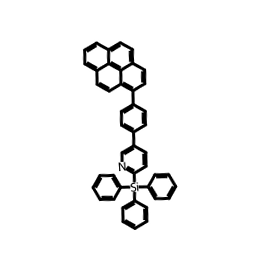 c1ccc([Si](c2ccccc2)(c2ccccc2)c2ccc(-c3ccc(-c4ccc5ccc6cccc7ccc4c5c67)cc3)cn2)cc1